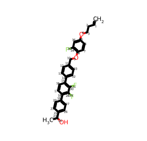 C=CCCOc1ccc(OCc2ccc(-c3ccc(-c4ccc(C(C)O)cc4)c(F)c3F)cc2)c(F)c1